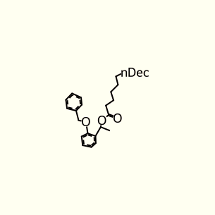 CCCCCCCCCCCCCCCC(=O)OC(C)c1ccccc1OCc1ccccc1